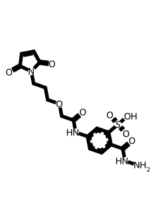 NNC(=O)c1ccc(NC(=O)COCCCN2C(=O)C=CC2=O)cc1S(=O)(=O)O